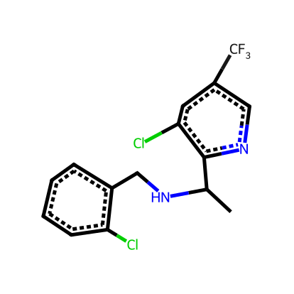 CC(NCc1ccccc1Cl)c1ncc(C(F)(F)F)cc1Cl